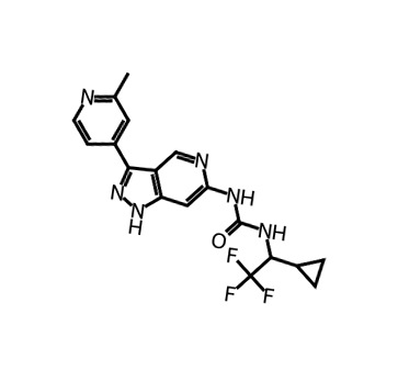 Cc1cc(-c2n[nH]c3cc(NC(=O)NC(C4CC4)C(F)(F)F)ncc23)ccn1